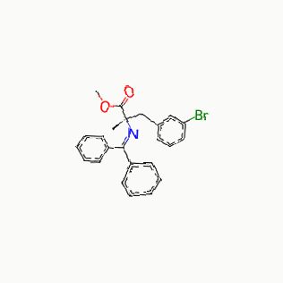 COC(=O)[C@](C)(Cc1cccc(Br)c1)N=C(c1ccccc1)c1ccccc1